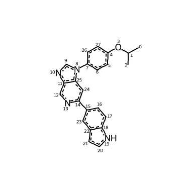 CC(C)Oc1ccc(-n2cnc3cnc(-c4ccc5[nH]ccc5c4)cc32)cc1